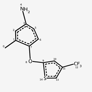 Cc1cc(N)ccc1Oc1cc(C(F)(F)F)cs1